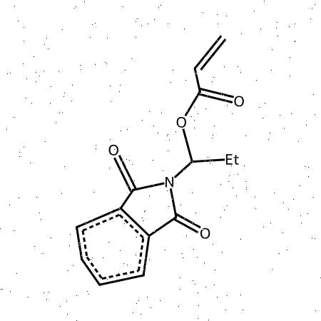 C=CC(=O)OC(CC)N1C(=O)c2ccccc2C1=O